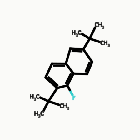 CC(C)(C)c1ccc2c(F)c(C(C)(C)C)ccc2c1